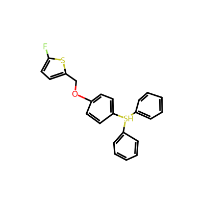 Fc1ccc(COc2ccc([SH](c3ccccc3)c3ccccc3)cc2)s1